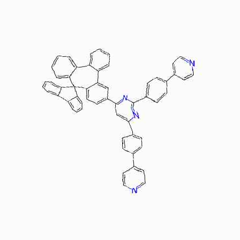 c1ccc2c(c1)-c1ccccc1C1(c3ccc(-c4cc(-c5ccc(-c6ccncc6)cc5)nc(-c5ccc(-c6ccncc6)cc5)n4)cc3-2)c2ccccc2-c2ccccc21